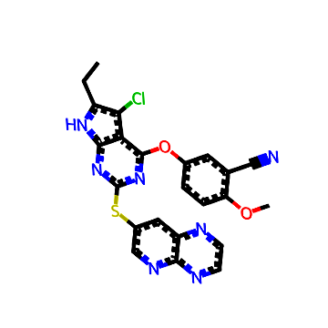 CCc1[nH]c2nc(Sc3cnc4nccnc4c3)nc(Oc3ccc(OC)c(C#N)c3)c2c1Cl